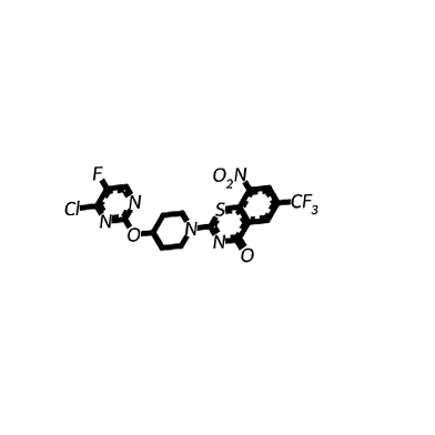 O=c1nc(N2CCC(Oc3ncc(F)c(Cl)n3)CC2)sc2c([N+](=O)[O-])cc(C(F)(F)F)cc12